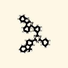 CC1(C)c2ccccc2-c2ccc(-c3nc(-c4ccccc4)nc(-c4cccc(-c5nc6sc7ccccc7c6c6ccccc56)c4)n3)cc21